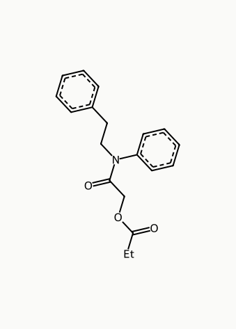 CCC(=O)OCC(=O)N(CCc1ccccc1)c1ccccc1